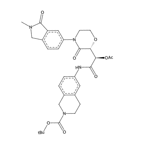 CC(=O)O[C@@H](C(=O)Nc1ccc2c(c1)CCN(C(=O)OC(C)(C)C)C2)[C@H]1OCCN(c2ccc3c(c2)C(=O)N(C)C3)C1=O